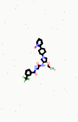 CCO[C@H]1CN(C2CCC(c3cccc[n+]3[O-])CC2)C[C@@H]1NC(=O)CNC(=O)c1cccc(C(F)(F)F)c1